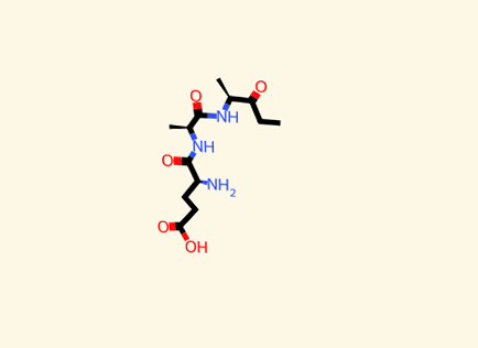 CCC(=O)[C@H](C)NC(=O)[C@H](C)NC(=O)[C@@H](N)CCC(=O)O